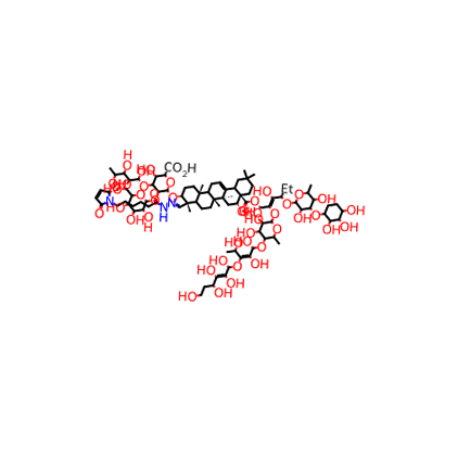 CCC(OC1OC(C)C(O)C(OC2CCC(O)C(O)C2O)C1O)/C(O)=C(\OC1OC(C)C(OC(O)/C(O)=C(/OC(O)/C(O)=C(\O)C(O)CCO)C(C)O)C(O)C1O)C(O)OC(=O)[C@]12CCC(C)(C)CC1C1=CCC3[C@@]4(C)CC[C@H](OC5OC(C(=O)O)C(O)C(OC(O)C(O)C(O)C(C)O)C5OC5OC(CO)C(O)C(O)C5O)[C@@](C)(/C=N/NC(=O)CCCCCN5C(=O)C=CC5=O)C4CC[C@@]3(C)[C@]1(C)C[C@H]2O